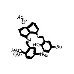 CC(=O)[O-].CC(=O)[O-].CC(C)(C)c1ccc(O)c(C=Nc2cccc3cccc(N=Cc4cc(C(C)(C)C)ccc4O)c23)c1.[Co+2]